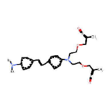 CCN(CC)c1ccc(C=Cc2ccc(N(CCOCC(C)=C=O)CCOCC(C)=C=O)cc2)cc1